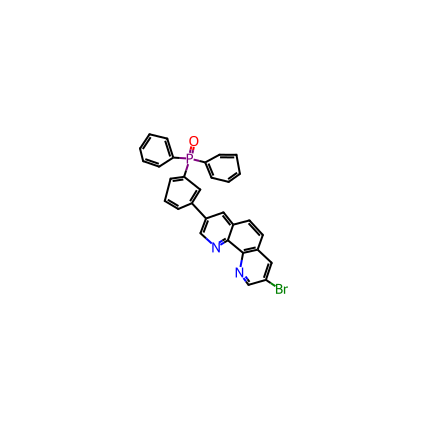 O=P(c1ccccc1)(c1ccccc1)c1cccc(-c2cnc3c(ccc4cc(Br)cnc43)c2)c1